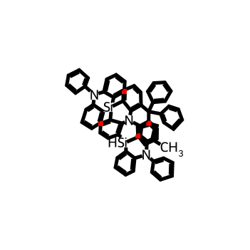 Cc1ccccc1N(c1ccccc1)c1ccccc1[SiH]1c2cccc3c2N2c4c1cccc4[Si]1(c4ccccc4N(c4ccccc4)c4ccccc41)c1cccc(c12)C3(c1ccccc1)c1ccccc1